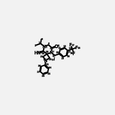 CC(C)N1CC(=O)N([C@@H](C)c2ccc(C(F)(F)F)cc2)C2(CN(c3ccccc3)C2)C1=N